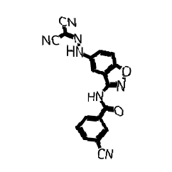 N#CC(C#N)=NNc1ccc2onc(NC(=O)c3cccc(C#N)c3)c2c1